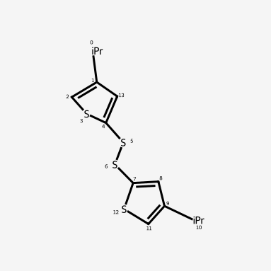 CC(C)c1csc(SSc2cc(C(C)C)cs2)c1